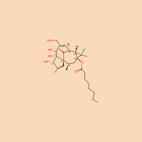 CCCCCCCC(=O)O[C@@]12C[C@@H](C)[C@]34C=C(C)[C@H](O)[C@@]3(O)[C@H](O)C(CO)=C[C@H](C4=O)[C@@H]1C2(C)C